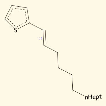 CCCCCCCCCCC/C=C/c1cccs1